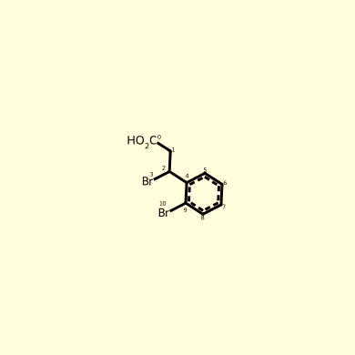 O=C(O)CC(Br)c1ccccc1Br